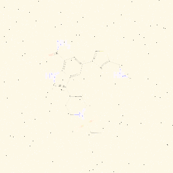 CCS(=O)(=O)N1CCC(c2c[nH]c3c(C(N)=O)cc(-c4csc(CNC)c4)cc23)CC1